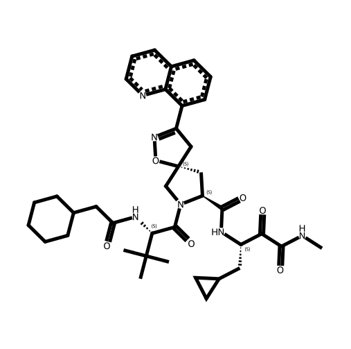 CNC(=O)C(=O)[C@H](CC1CC1)NC(=O)[C@@H]1C[C@]2(CC(c3cccc4cccnc34)=NO2)CN1C(=O)[C@@H](NC(=O)CC1CCCCC1)C(C)(C)C